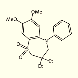 CCC1(CC)CN(c2ccccc2)c2cc(OC)c(OC)cc2S(=O)(=O)C1